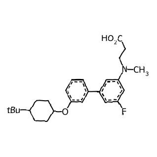 CN(CCC(=O)O)c1cc(F)cc(-c2cccc(OC3CCC(C(C)(C)C)CC3)c2)c1